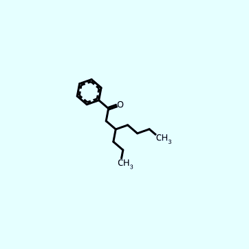 CCCCC(CCC)CC(=O)c1ccccc1